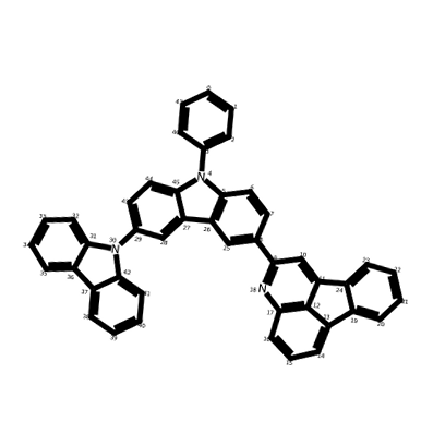 c1ccc(-n2c3ccc(-c4cc5c6c(cccc6n4)-c4ccccc4-5)cc3c3cc(-n4c5ccccc5c5ccccc54)ccc32)cc1